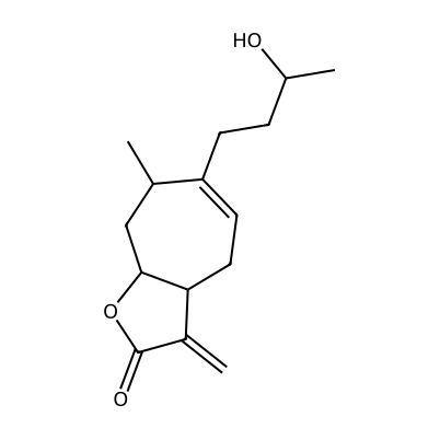 C=C1C(=O)OC2CC(C)C(CCC(C)O)=CCC12